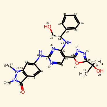 CCn1c(=O)c2ccc(Nc3ncc(-c4nnc(C(C)(C)O)o4)c(N[C@H](CO)c4ccccc4)n3)cc2n1C(C)C